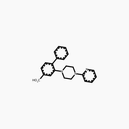 O=C(O)c1ccc(-c2ccccc2)c(N2CCN(c3ccccn3)CC2)c1